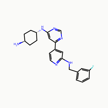 N[C@H]1CC[C@H](Nc2cc(-c3ccnc(NCc4cccc(F)c4)c3)ncn2)CC1